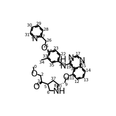 COCC(=O)C1CN[C@@H](COc2cccc3ncnc(Nc4ccc(OCc5ccccn5)c(C)c4)c23)C1